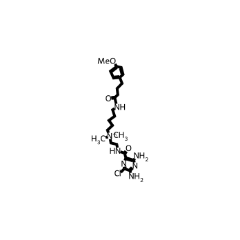 COc1ccc(CCCC(=O)NCCCCC[N+](C)(C)CCNC(=O)c2nc(Cl)c(N)nc2N)cc1